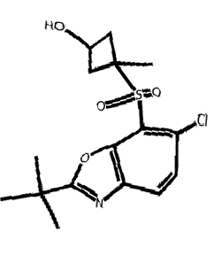 CC(C)(C)c1nc2ccc(Cl)c(S(=O)(=O)C3(C)CC(O)C3)c2o1